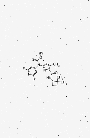 Cc1sc(N(C(=S)OC(C)C)c2cc(F)nc(F)c2)nc1C(=O)NC1CCC1(C)C